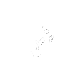 Cn1cnc(-c2ccc(F)cc2)c1-c1ccc2ncc(N3CCC4(CC3)C(=O)CCC4=O)cc2c1